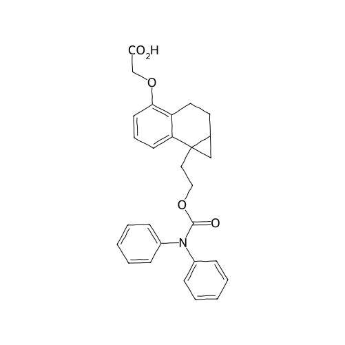 O=C(O)COc1cccc2c1CCC1CC21CCOC(=O)N(c1ccccc1)c1ccccc1